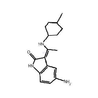 C/C(NC1CCC(C)CC1)=C1/C(=O)Nc2ccc(N)cc21